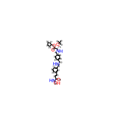 CC(C)(C)OC[C@H](NCc1ccc(CNCc2cccc(C=CC(=O)NO)c2)cc1)C(=O)OC1CCCC1